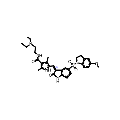 CCN(CC)CCNC(=O)c1c(C)[nH]c(/C=C2\C(=O)Nc3ccc(S(=O)(=O)N4CCc5cc(OC)ccc54)cc32)c1C